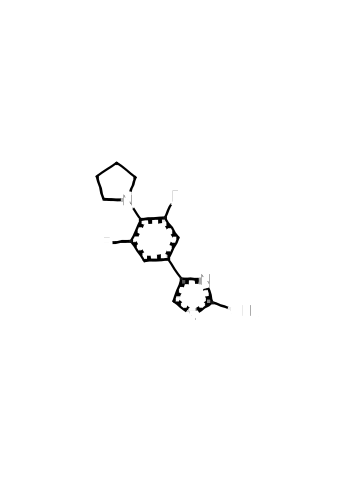 Cc1nc(-c2cc(F)c(N3CCCC3)c(F)c2)cs1